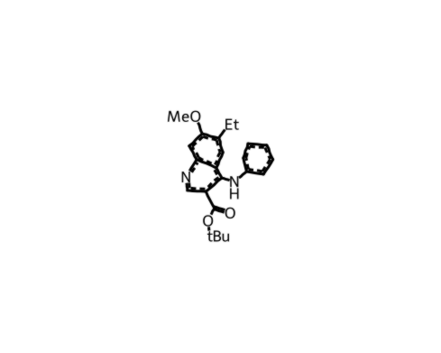 CCc1cc2c(Nc3ccccc3)c(C(=O)OC(C)(C)C)cnc2cc1OC